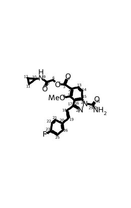 COc1c(C(=O)OCC(=O)NC2CC2)ccc2c1c(C=Cc1ccc(F)cc1)nn2C(N)=O